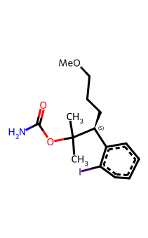 COCCC[C@@H](c1ccccc1I)C(C)(C)OC(N)=O